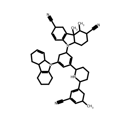 CC1C=C(C#N)C=C(C2CCCC(C3=CC(N4C5=C(CC(C#N)C=C5)C5(C)C(C)C(C#N)CCC45)CC(N4C5=C(CCCC5)C5CCC=CC54)=C3)N2)C1